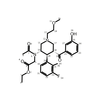 CCOC(=O)CN(C(C)=O)[C@@H]1CN(CCOC)C[C@H](C(=O)c2cccc(O)c2)[C@H]1c1cccc(F)c1C